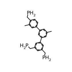 Cc1cc(-c2cc(CP)cc(CP)c2)cc(-c2ccc(CP)c(C)c2)c1